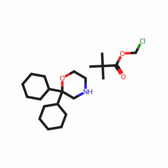 C1CCC(C2(C3CCCCC3)CNCCO2)CC1.CC(C)(C)C(=O)OCCl